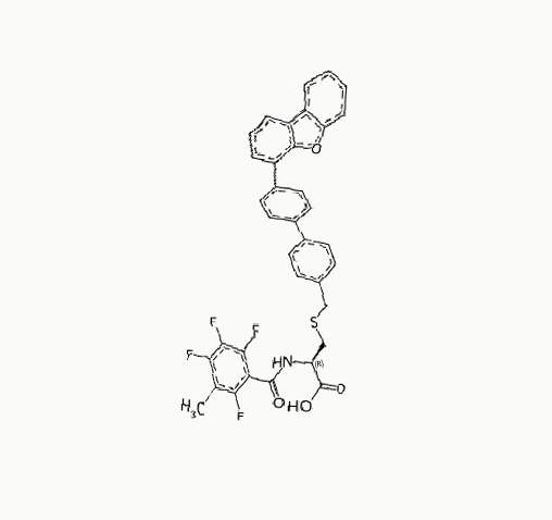 Cc1c(F)c(F)c(F)c(C(=O)N[C@@H](CSCc2ccc(-c3ccc(-c4cccc5c4oc4ccccc45)cc3)cc2)C(=O)O)c1F